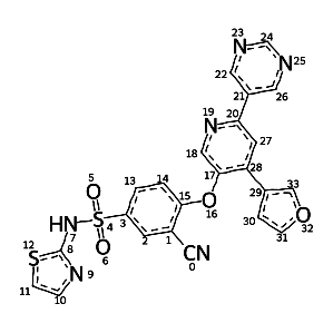 N#Cc1cc(S(=O)(=O)Nc2nccs2)ccc1Oc1cnc(-c2cncnc2)cc1-c1ccoc1